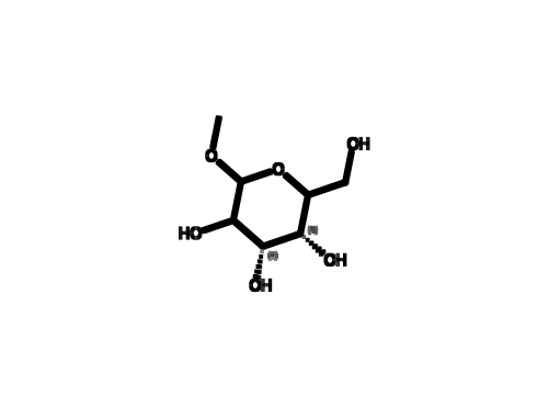 COC1OC(CO)[C@H](O)[C@H](O)C1O